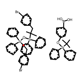 CC(C)(C)[Si](Oc1ccc(B(O)O)cc1)(c1ccccc1)c1ccccc1.CC(C)(Cc1ccc(Br)cc1)[Si](O[Si](c1ccccc1)(c1ccccc1)C(C)(C)Cc1ccc(Br)cc1)(c1ccccc1)c1ccccc1